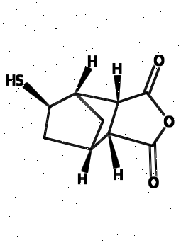 O=C1OC(=O)[C@H]2[C@@H]3C[C@@H](C[C@H]3S)[C@@H]12